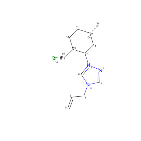 C=CCn1cn[n+](C2C[C@@H](C)CCC2C(C)C)c1.[Br-]